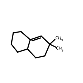 CC1(C)C=C2CCCCC2CC1